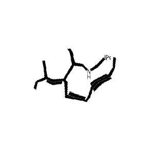 CC#C/C=C\C(=C(C)C)C(C)NC(C)C